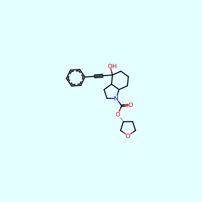 O=C(O[C@@H]1CCOC1)N1CCC2C1CCCC2(O)C#Cc1ccccc1